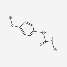 CCOc1ccc(NC(=O)NC(C)C)cc1